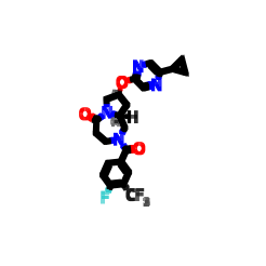 O=C(c1ccc(F)c(C(F)(F)F)c1)N1CCC(=O)N2C[C@@H](Oc3cnc(C4CC4)cn3)C[C@@H]2C1